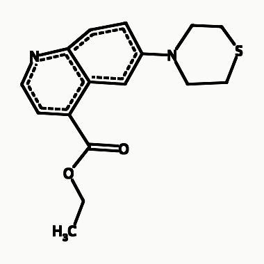 CCOC(=O)c1ccnc2ccc(N3CCSCC3)cc12